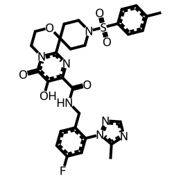 Cc1ccc(S(=O)(=O)N2CCC3(CC2)OCCn2c3nc(C(=O)NCc3ccc(F)cc3-n3ncnc3C)c(O)c2=O)cc1